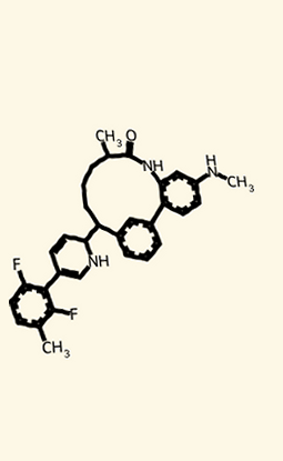 CNc1ccc2c(c1)NC(=O)C(C)CCCC(C1C=CC(c3c(F)ccc(C)c3F)=CN1)c1cccc-2c1